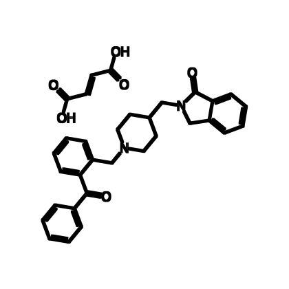 O=C(O)C=CC(=O)O.O=C(c1ccccc1)c1ccccc1CN1CCC(CN2Cc3ccccc3C2=O)CC1